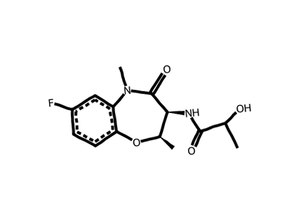 CC(O)C(=O)N[C@@H]1C(=O)N(C)c2cc(F)ccc2O[C@@H]1C